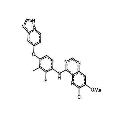 COc1cc2ncnc(Nc3ccc(Oc4ccn5ncnc5c4)c(C)c3F)c2nc1Cl